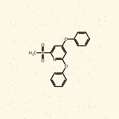 CS(=O)(=O)c1cc(Oc2ccccc2)cc(Oc2ccccc2)n1